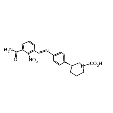 NC(=O)c1cccc(/C=N/c2ccc([C@@H]3CCCN(C(=O)O)C3)cc2)c1[N+](=O)[O-]